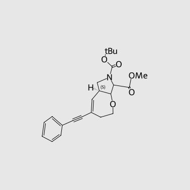 COC(=O)C1C2OCCC(C#Cc3ccccc3)=C[C@H]2CN1C(=O)OC(C)(C)C